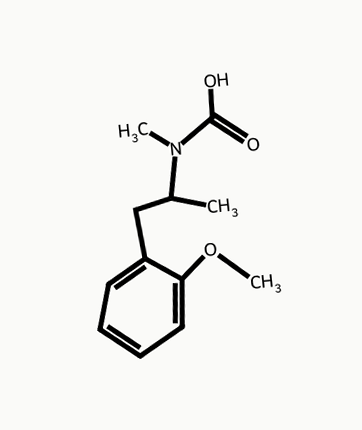 COc1ccccc1CC(C)N(C)C(=O)O